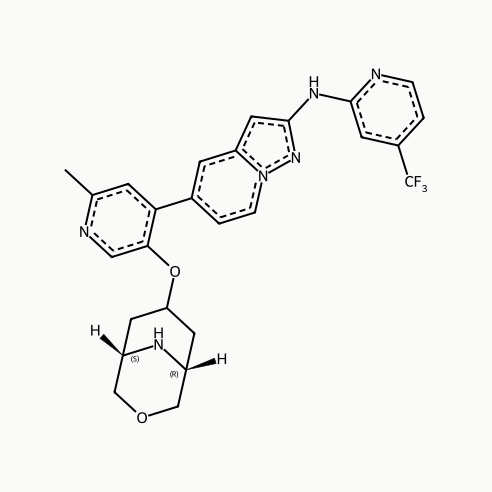 Cc1cc(-c2ccn3nc(Nc4cc(C(F)(F)F)ccn4)cc3c2)c(OC2C[C@H]3COC[C@@H](C2)N3)cn1